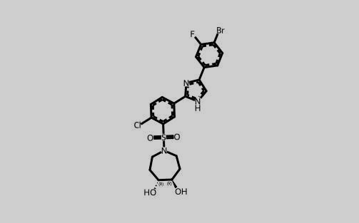 O=S(=O)(c1cc(-c2nc(-c3ccc(Br)c(F)c3)c[nH]2)ccc1Cl)N1CC[C@@H](O)[C@H](O)CC1